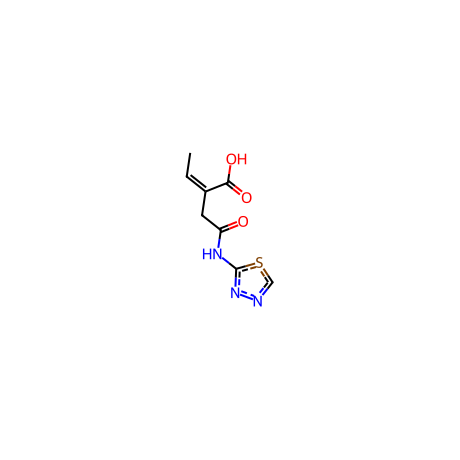 CC=C(CC(=O)Nc1nncs1)C(=O)O